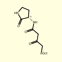 CCCCCCCCCC(=O)CC(=O)N[C@H]1CCNC1=O